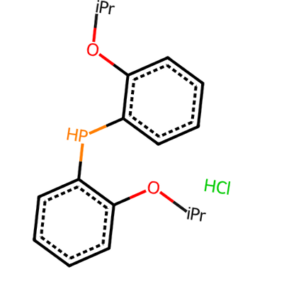 CC(C)Oc1ccccc1Pc1ccccc1OC(C)C.Cl